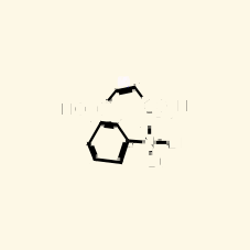 CC[N+](CC)(CC)c1ccccc1.O=C(O)/C=C\C(=O)O